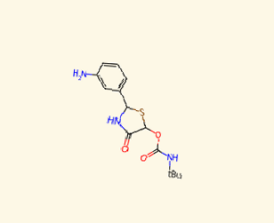 CC(C)(C)NC(=O)OC1SC(c2cccc(N)c2)NC1=O